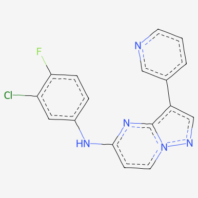 Fc1ccc(Nc2ccn3ncc(-c4cccnc4)c3n2)cc1Cl